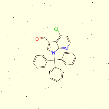 O=Cc1cn(C(c2ccccc2)(c2ccccc2)c2ccccc2)c2nccc(Cl)c12